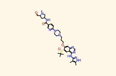 Cc1[nH]nc(Nc2ncnc3cc(OCCCN4CCN(c5ccc(C(=O)NC6CC(C=O)N(C)C6)cn5)CC4)c([S+]([O-])C(C)(C)C)cc23)c1C